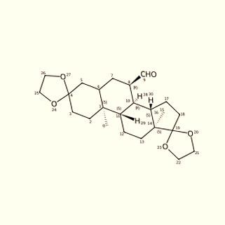 C[C@]12CCC3(CC1C[C@@H](C=O)[C@@H]1[C@@H]2CC[C@@]2(C)[C@H]1CCC21OCCO1)OCCO3